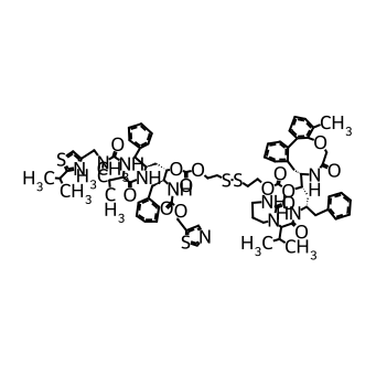 Cc1cccc2c1OCC(=O)N[C@H]([C@H](C[C@H](Cc1ccccc1)NC(=O)C(C(C)C)N1CCCNC1=O)OC(=O)OCCSSCCOC(=O)O[C@@H](C[C@H](Cc1ccccc1)NC(=O)C(NC(=O)N(C)Cc1csc(C(C)C)n1)C(C)C)[C@H](Cc1ccccc1)NC(=O)OCc1cncs1)Cc1ccccc1-2